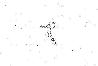 COC1=CC(C(CCO)c2ccc3ncc(-c4cnn(C)c4)cc3c2)=CC(OC)C1